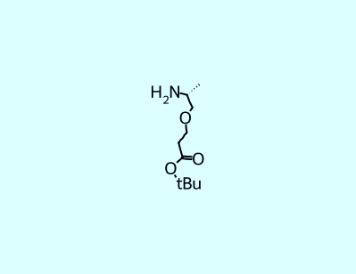 C[C@@H](N)COCCC(=O)OC(C)(C)C